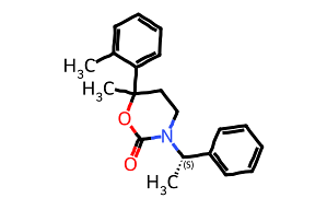 Cc1ccccc1C1(C)CCN([C@@H](C)c2ccccc2)C(=O)O1